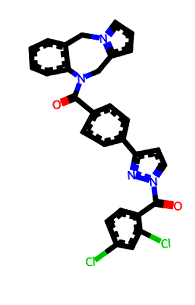 O=C(c1ccc(-c2ccn(C(=O)c3ccc(Cl)cc3Cl)n2)cc1)N1Cc2cccn2Cc2ccccc21